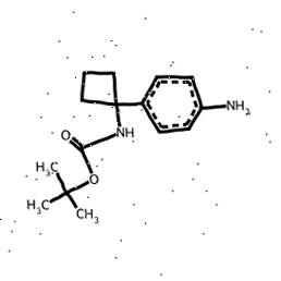 CC(C)(C)OC(=O)NC1(c2ccc(N)cc2)CCC1